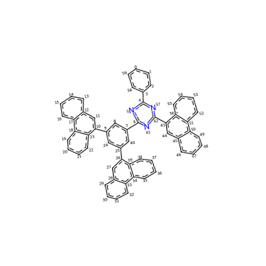 c1ccc(-c2nc(-c3cc(-c4cc5ccccc5c5ccccc45)cc(-c4cc5ccccc5c5ccccc45)c3)nc(-c3cc4ccccc4c4ccccc34)n2)cc1